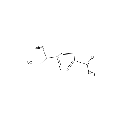 CSC(CC#N)c1ccc([S+](C)[O-])cc1